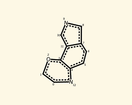 c1coc2c(ccc3cncc32)n1